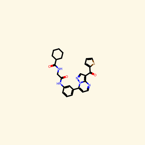 O=C(CNC(=O)C1CCCCC1)Nc1cccc(-c2ccnc3c(C(=O)c4cccs4)cnn23)c1